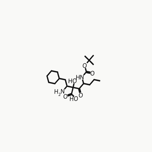 CCCC(NC(=O)OC(C)(C)C)C(=O)C(O)(C(=O)O)C(N)CC1CCCCC1